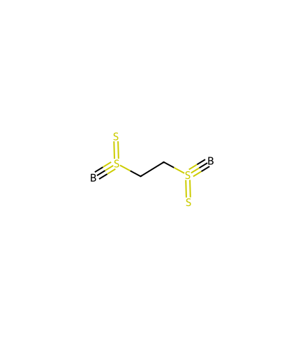 B#S(=S)CCS(#B)=S